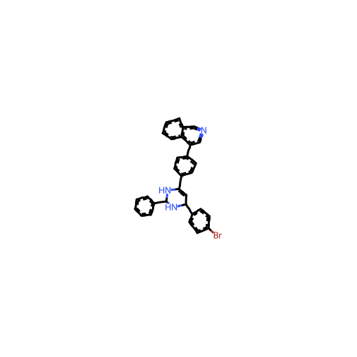 Brc1ccc(C2C=C(c3ccc(-c4cncc5ccccc45)cc3)NC(c3ccccc3)N2)cc1